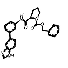 O=C(Nc1cccc(-c2ccc3[nH]cnc3c2)c1)C1CCCN1C(=O)OCc1ccccc1